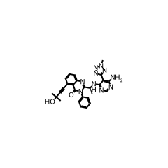 C[C@H](Nc1ncnc(N)c1-c1nnn(C)n1)c1nc2cccc(C#CC(C)(C)O)c2c(=O)n1-c1ccccc1